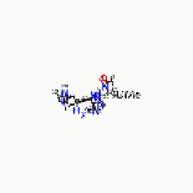 C=CC(=O)N1CC(n2nc(C#Cc3ccc4nc(C)n(C)c4c3)c3c(N)ncnc32)C[C@@H]1CCOC